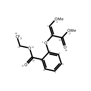 COC=C(Oc1ccccc1C(=O)OCC(F)(F)F)C(=O)OC